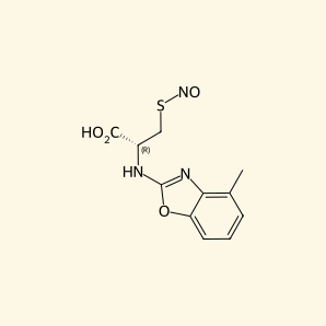 Cc1cccc2oc(N[C@@H](CSN=O)C(=O)O)nc12